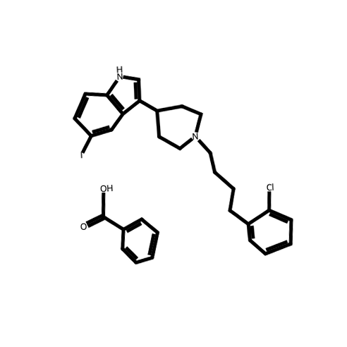 Clc1ccccc1CCCCN1CCC(c2c[nH]c3ccc(I)cc23)CC1.O=C(O)c1ccccc1